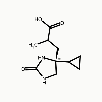 CC(C[C@@]1(C2CC2)CNC(=O)N1)C(=O)O